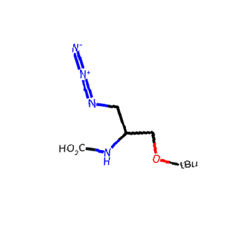 CC(C)(C)OCC(CN=[N+]=[N-])NC(=O)O